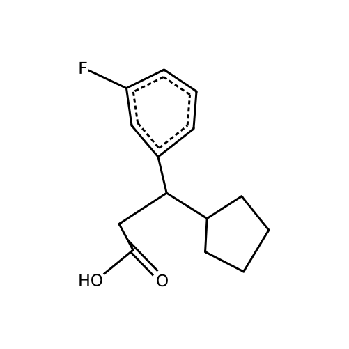 O=C(O)CC(c1cccc(F)c1)C1CCCC1